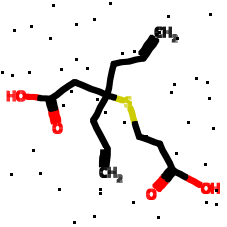 C=CCC(CC=C)(CC(=O)O)SCCC(=O)O